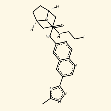 Cc1nnc(-c2cnc3cnc(NC(=O)N4[C@@H]5CC[C@H]4CC(NCCF)C5)cc3c2)s1